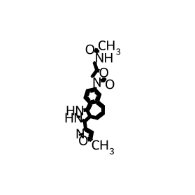 CC(=O)NCC1CN(c2ccc3c(c2)=CC=CC2C=3NNC2c2cc(C)on2)C(=O)O1